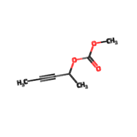 CC#CC(C)OC(=O)OC